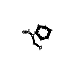 O=COCCl.c1ccccc1